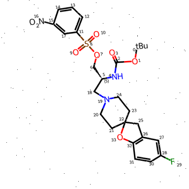 CC(C)(C)OC(=O)N[C@H](COS(=O)(=O)c1cccc([N+](=O)[O-])c1)CN1CCC2(CC1)Cc1cc(F)ccc1O2